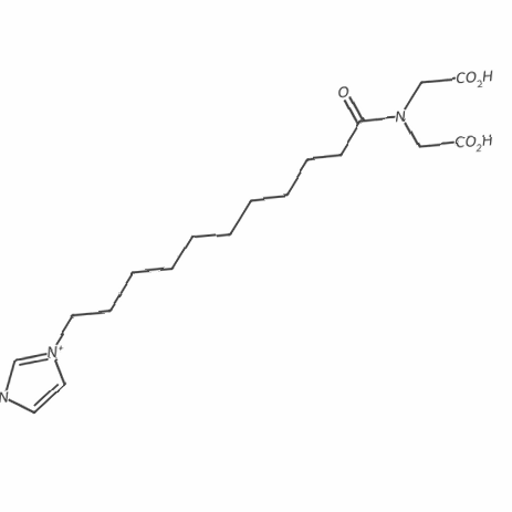 Cn1cc[n+](CCCCCCCCCCC(=O)N(CC(=O)O)CC(=O)O)c1